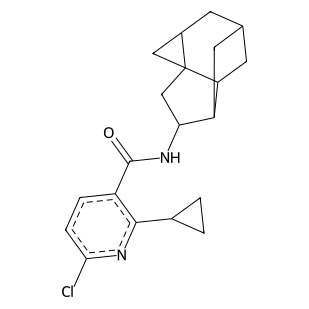 O=C(NC1CC23CC2CC2CC1C3C2)c1ccc(Cl)nc1C1CC1